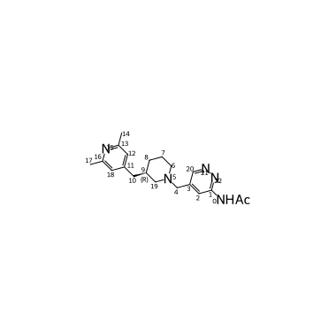 CC(=O)Nc1cc(CN2CCC[C@H](Cc3cc(C)nc(C)c3)C2)cnn1